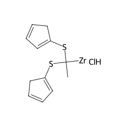 C[C]([Zr])(SC1=CC=CC1)SC1=CC=CC1.Cl